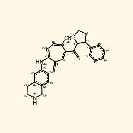 C=C1C=C(C(=C)C2OCCC2c2ccccc2)C(C#N)=CN=C1Nc1ccc2c(c1)CCNC2